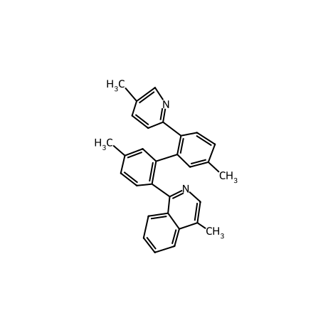 Cc1ccc(-c2ccc(C)cc2-c2cc(C)ccc2-c2ncc(C)c3ccccc23)nc1